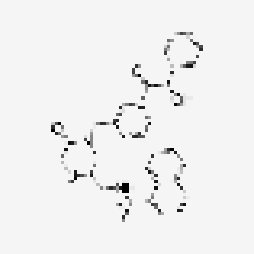 C[C@@H](NCC1CN(Cc2cccc(C(=O)C(O)c3ccccc3)c2)C(=O)CO1)c1cccc2ccccc12